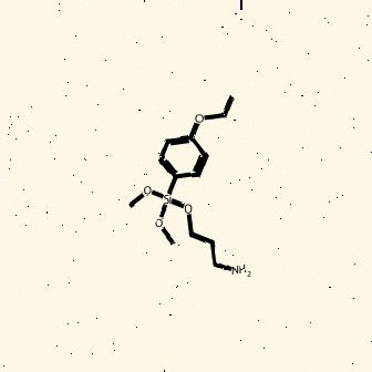 CCOc1ccc([Si](OC)(OC)OCCCN)cc1